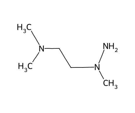 CN(C)CCN(C)N